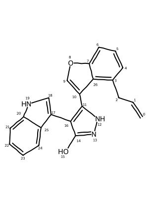 C=CCc1cccc2occ(-c3[nH]nc(O)c3-c3c[nH]c4ccccc34)c12